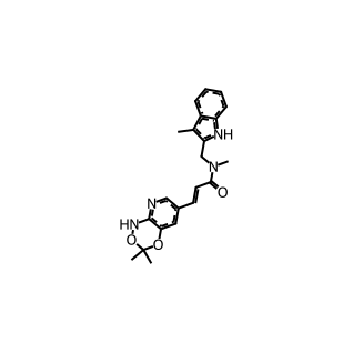 Cc1c(CN(C)C(=O)/C=C/c2cnc3c(c2)OC(C)(C)ON3)[nH]c2ccccc12